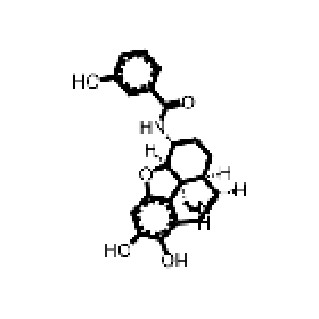 O=C(N[C@@H]1CC[C@H]2[C@H]3Cc4c(O)c(O)cc5c4[C@@]2(CCN3)[C@H]1O5)c1cccc(O)c1